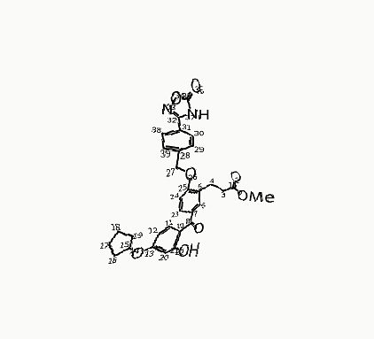 COC(=O)CCc1cc(C(=O)c2ccc(OC3CCCC3)cc2O)ccc1OCc1ccc(-c2noc(=O)[nH]2)cc1